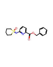 O=C(OCc1ccccc1)c1cccc(N=S2(=O)CCCCC2)n1